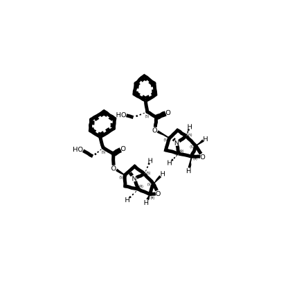 CN1[C@@H]2C[C@@H](OC(=O)[C@H](CO)c3ccccc3)C[C@H]1[C@@H]1O[C@@H]12.CN1[C@@H]2C[C@@H](OC(=O)[C@H](CO)c3ccccc3)C[C@H]1[C@@H]1O[C@@H]12